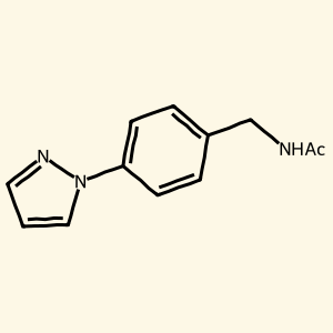 CC(=O)NCc1ccc(-n2cccn2)cc1